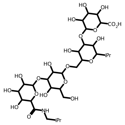 CC(C)CNC(=O)C1OC(OC2C(O)C(CO)OC(OCC3OC(C(C)C)C(O)C(OC4OC(C(=O)O)C(O)C(O)C4O)C3O)C2O)C(O)C(O)C1O